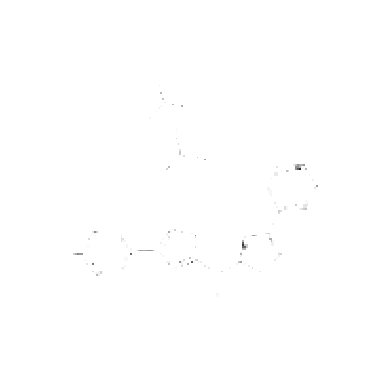 CC(C)O.CC(C)O.[CH2]=[Hf]([C]1=CC(c2ccc(C)cc2)=CC1)[C]1=CC(c2ccc(C)cc2)=CC1